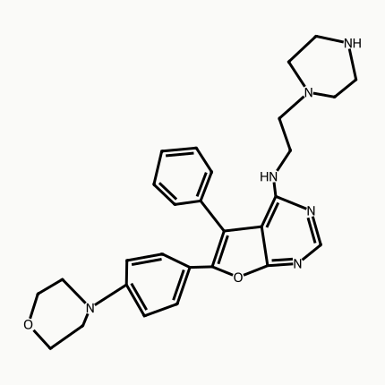 c1ccc(-c2c(-c3ccc(N4CCOCC4)cc3)oc3ncnc(NCCN4CCNCC4)c23)cc1